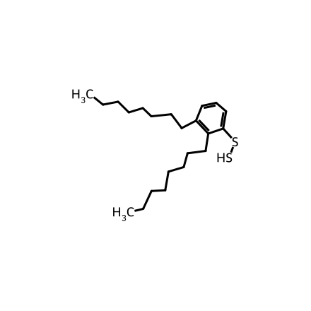 CCCCCCCCc1cccc(SS)c1CCCCCCCC